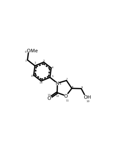 COCc1ccc(N2CC(CO)OC2=O)cc1